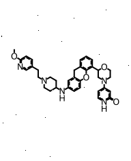 COc1ccc(CCN2CCC(Nc3ccc4c(c3)Cc3cccc(C5CN(c6cc[nH]c(=O)c6)CCO5)c3O4)CC2)cn1